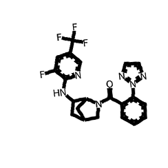 O=C(c1ccccc1-n1nccn1)N1CC2CC(Nc3ncc(C(F)(F)F)cc3F)C1C2